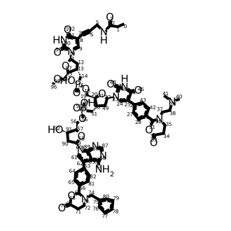 CCC(=O)NCC#Cc1cn([C@H]2C[C@H](CP(=O)(O)OC[C@H]3O[C@@H](n4cc(-c5ccc(C6OC(=O)CCN6CCN(C)C)cc5)c(=O)[nH]c4=O)C[C@@H]3CP(=O)(O)OC[C@H]3O[C@@H](n4cc(-c5ccc(C6OC(=O)CCN6Cc6ccccc6)cc5)c5c(N)ncnc54)C[C@@H]3O)[C@@H](COC)O2)c(=O)[nH]c1=O